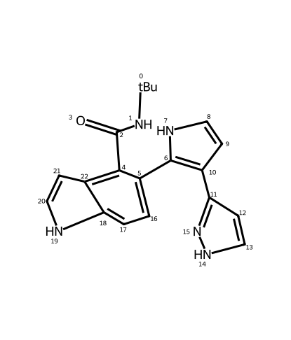 CC(C)(C)NC(=O)c1c(-c2[nH]ccc2-c2cc[nH]n2)ccc2[nH]ccc12